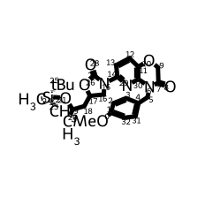 COc1ccc(CN2C(=O)COc3ccc(N4CC(CC(C)O[Si](C)(C)C(C)(C)C)OC4=O)nc32)cc1